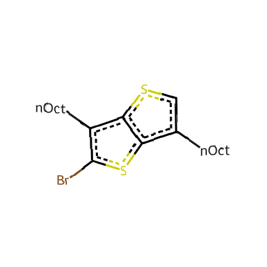 CCCCCCCCc1csc2c(CCCCCCCC)c(Br)sc12